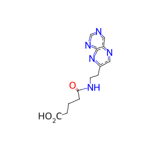 O=C(O)CCCC(=O)NCCc1cnc2cncnc2n1